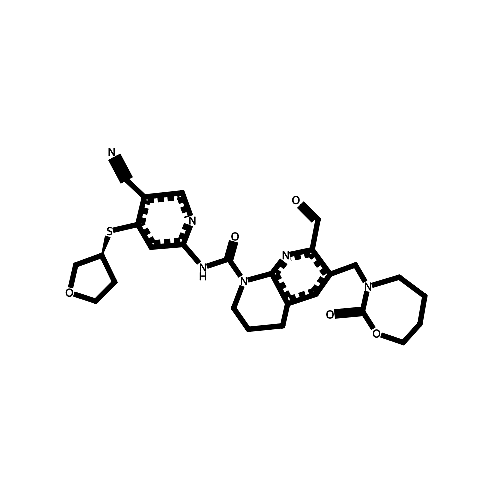 N#Cc1cnc(NC(=O)N2CCCc3cc(CN4CCCCOC4=O)c(C=O)nc32)cc1S[C@H]1CCOC1